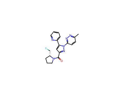 Cc1ccc(-n2nc(C(=O)N3CCC[C@@H]3CF)cc2-c2ccccn2)nn1